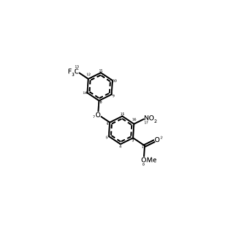 COC(=O)c1ccc(Oc2cccc(C(F)(F)F)c2)cc1[N+](=O)[O-]